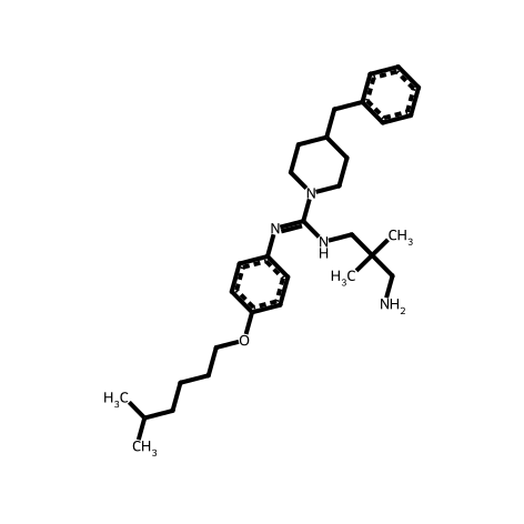 CC(C)CCCCOc1ccc(/N=C(\NCC(C)(C)CN)N2CCC(Cc3ccccc3)CC2)cc1